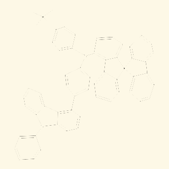 CC(C)(C)c1ccc(N(c2ccc(-c3cccc4c3c3ccccc3n4-c3ccccc3)cc2)c2cccc3c2-c2ccccc2C32c3ccccc3-c3ccccc32)cc1